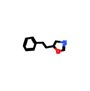 C1=NCC(CCc2ccccc2)O1